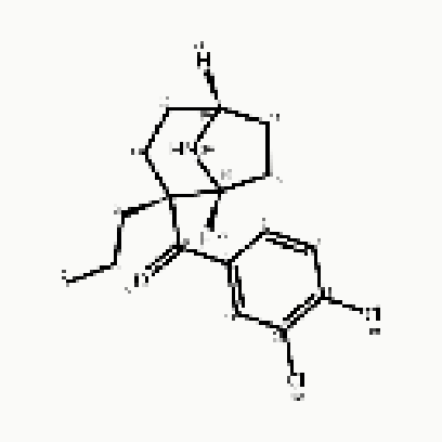 CCC[C@@]1(C(=O)c2ccc(Cl)c(Cl)c2)CC[C@@H]2CC[C@H]1N2